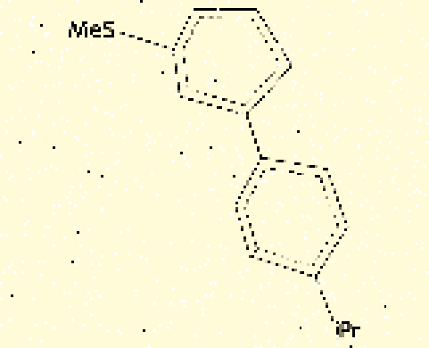 CSc1cccc(-c2ccc(C(C)C)cc2)c1